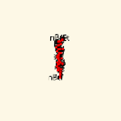 CCCCC(C)CCc1ccc(-c2ccc(-c3ccc(-c4ccc5c(c4)C(C)(C)c4cc(-c6ccc(-c7ccc(-c8ccc(CCC(CC)CCCC)cc8F)s7)c7nsnc67)ccc4-5)c4nsnc34)s2)c(F)c1